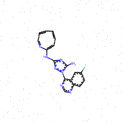 Nc1nc(NC2=CC=CC=CC=N2)nn1-c1ncnc2ccc(F)cc12